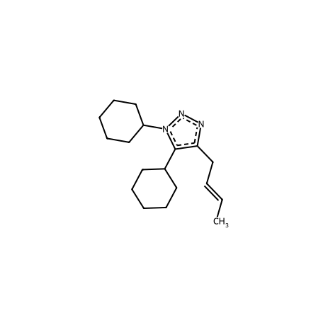 CC=CCc1nnn(C2CCCCC2)c1C1CCCCC1